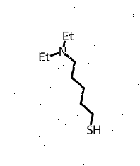 CCN(CC)CCCCCS